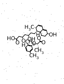 CC[C@H](Oc1cc(C)ccc1C)C(=O)O[C@H]1C[C@H](O)C=C2C=C[C@@H](C)[C@H](CC[C@@H](O)C[C@@H](O)CC(=O)O)[C@H]21